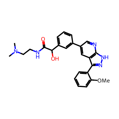 COc1ccccc1-c1n[nH]c2ncc(-c3cccc(C(O)C(=O)NCCN(C)C)c3)cc12